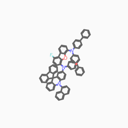 Fc1ccc(N(c2ccccc2)c2ccc3c(c2)C2(c4ccccc4-c4ccccc42)c2ccccc2N3c2cccc3ccccc23)c2oc3c(N(c4ccc(-c5ccccc5)cc4)c4ccc(-c5ccccc5)cc4)cccc3c12